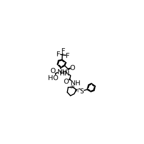 O=C(O)Nc1ccc(C(F)(F)F)cc1C(=O)NCC(=O)N[C@H]1CCCC[C@H]1CSc1ccccc1